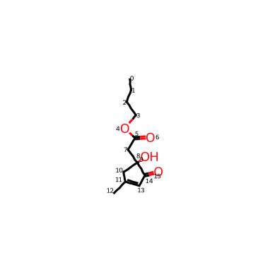 CCCCOC(=O)CC1(O)CC(C)=CC1=O